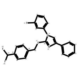 Fc1cccc(-n2cc(-c3ccccc3)nc2SCc2ccc(C(F)F)cc2)c1